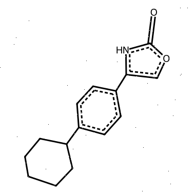 O=c1[nH]c(-c2ccc(C3CCCCC3)cc2)co1